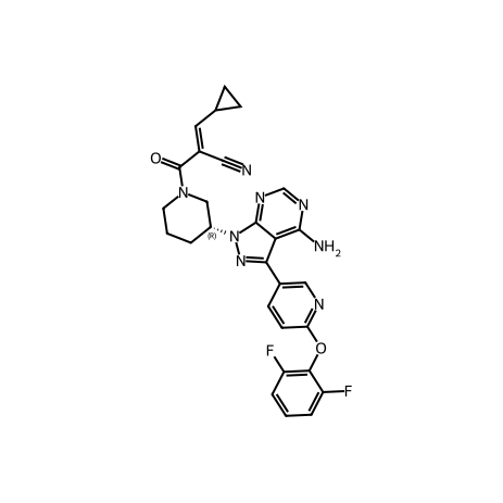 N#CC(=CC1CC1)C(=O)N1CCC[C@@H](n2nc(-c3ccc(Oc4c(F)cccc4F)nc3)c3c(N)ncnc32)C1